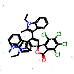 CCn1c(C)c(C(=CC2(c3ccc(N(C)C)cc3)OC(=O)c3c(Cl)c(Cl)c(Cl)c(Cl)c32)c2c(C)n(CC)c3ccccc23)c2ccccc21